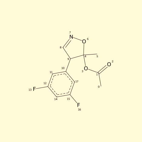 CC(=O)OC1(C)ON=CC1c1cc(F)cc(F)c1